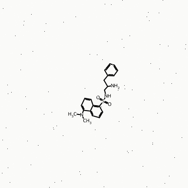 CN(C)c1cccc2c(S(=O)(=O)NCC(N)Cc3ccccc3)cccc12